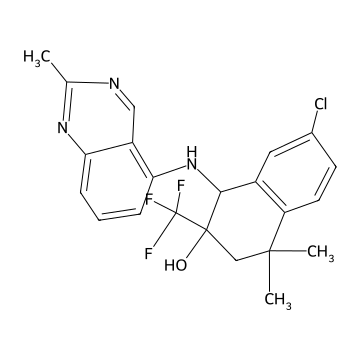 Cc1ncc2c(NC3c4cc(Cl)ccc4C(C)(C)CC3(O)C(F)(F)F)cccc2n1